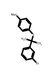 CCc1cccc(C(C)(C)Sc2ccc(SC)cc2)c1